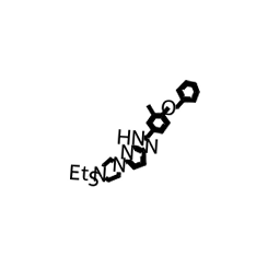 CCSN1CCN(c2ccc3nc(-c4ccc(OCc5ccccc5)c(C)c4)[nH]c3n2)CC1